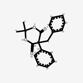 CC1(C)OC(=O)C(Cc2ccccc2)(c2ccccc2)C(=O)O1